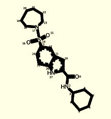 O=C(NC1CCCCC1)c1cc2cc(S(=O)(=O)N3CCCCCC3)ccc2[nH]1